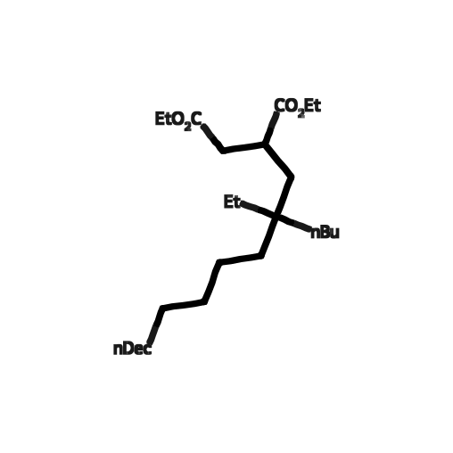 CCCCCCCCCCCCCCC(CC)(CCCC)CC(CC(=O)OCC)C(=O)OCC